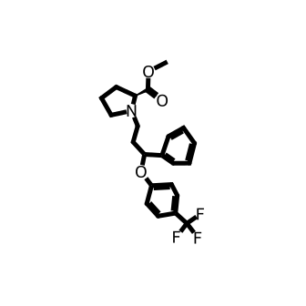 COC(=O)[C@@H]1CCCN1CCC(Oc1ccc(C(F)(F)F)cc1)c1ccccc1